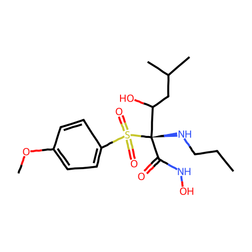 CCCN[C@](C(=O)NO)(C(O)CC(C)C)S(=O)(=O)c1ccc(OC)cc1